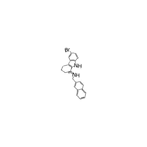 Brc1ccc2[nH]c3c(c2c1)CCC[C@H]3NCc1ccc2ccccc2c1